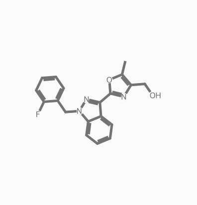 Cc1oc(-c2nn(Cc3ccccc3F)c3ccccc23)nc1CO